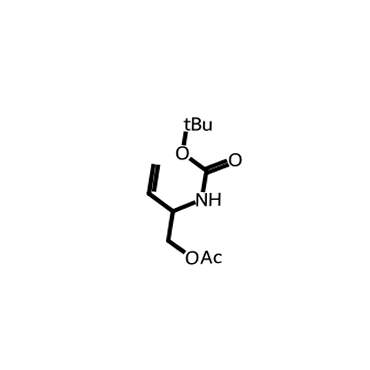 C=CC(COC(C)=O)NC(=O)OC(C)(C)C